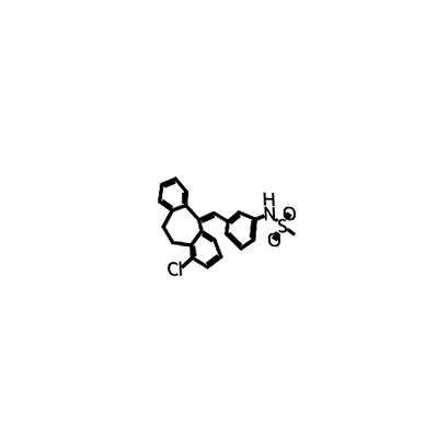 CS(=O)(=O)Nc1cccc(C=C2c3ccccc3CCc3c(Cl)cccc32)c1